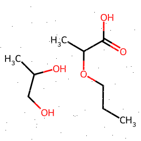 CC(O)CO.CCCOC(C)C(=O)O